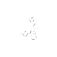 Cc1cc(C2=CC(c3cc(-c4ccc(Cl)cc4F)c4nc(C)c(C)c(=O)n4n3)CCO2)ccn1